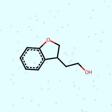 OCCC1COc2ccccc21